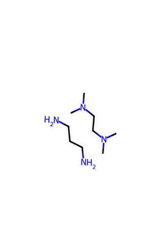 CN(C)CCN(C)C.NCCCN